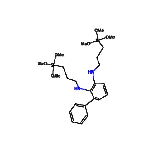 CO[Si](CCCNc1cccc(-c2ccccc2)c1NCCC[Si](OC)(OC)OC)(OC)OC